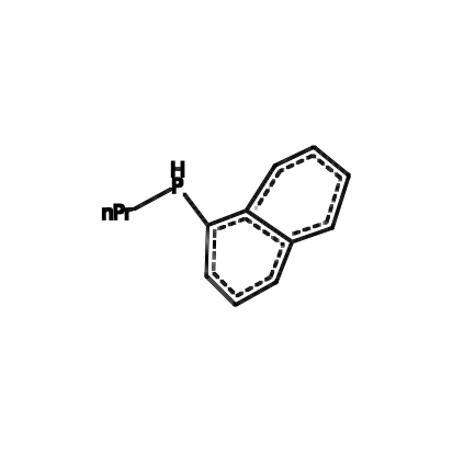 CCCPc1cccc2ccccc12